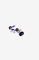 N#C[C@@H]1CCCN1C(=O)CN[C@@H]1CC[C@H](C(=O)NC23CC4CC(CC(C4)C2)C3)C1